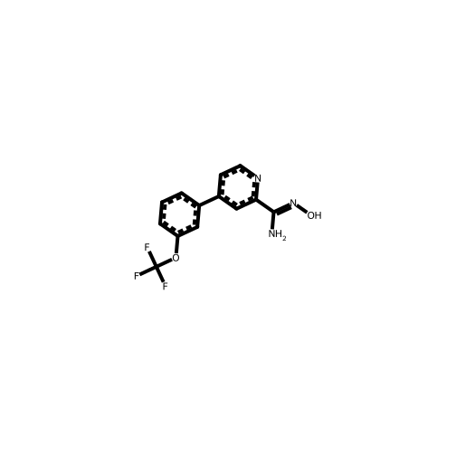 NC(=NO)c1cc(-c2cccc(OC(F)(F)F)c2)ccn1